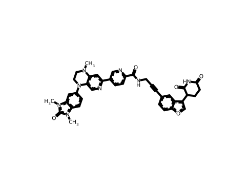 CN1CCN(c2ccc3c(c2)n(C)c(=O)n3C)c2cnc(-c3ccc(C(=O)NCC#Cc4ccc5occ(C6CCC(=O)NC6=O)c5c4)nc3)cc21